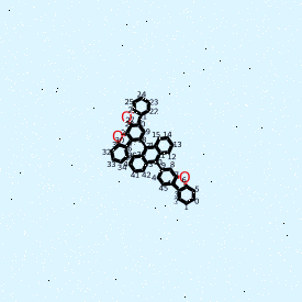 c1ccc2c(c1)oc1cc(-c3c4ccccc4c(-c4cc5c6ccccc6oc5c5oc6ccccc6c45)c4ccccc34)ccc12